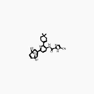 CCC12C=CC(CC)(CC(c3ccc(NC(=O)c4ncc(C#N)[nH]4)c(C4=CCC(C)(C)CC4)n3)=C1)O2